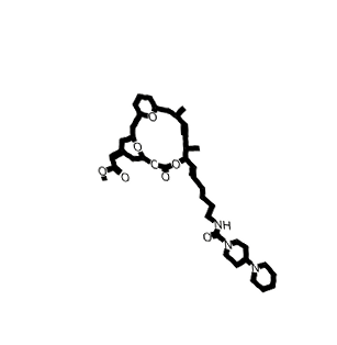 COC(=O)/C=C1\CC2CC(=O)OC(/C=C/CCCCNC(=O)N3CCC(N4CCCCC4)CC3)C(C)/C=C/C(C)CC3CCCC(CC(C1)O2)O3